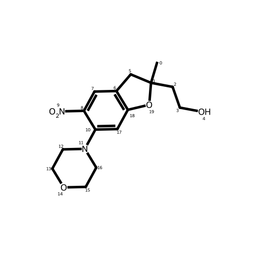 CC1(CCO)Cc2cc([N+](=O)[O-])c(N3CCOCC3)cc2O1